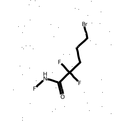 O=C(NF)C(F)(F)CCCBr